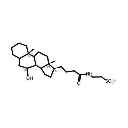 C[C@]12CCCCC1C[C@H](O)C1C2CC[C@@]2(C)C1CC[C@@H]2CCCC(=O)NCCS(=O)(=O)O